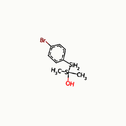 C[Si](C)(O)[SiH2]c1ccc(Br)cc1